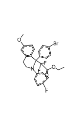 CCOC(=O)C(F)(F)C1(c2ccc(Br)cc2)c2ccc(OC)cc2CCN1c1ccc(F)cc1